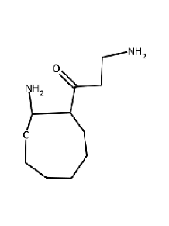 NCCC(=O)C1CCCCCCC1N